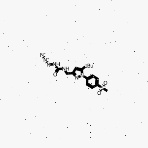 CC(C)(C)c1cc(CNC(=O)NN=[N+]=[N-])nn1-c1ccc(S(C)(=O)=O)cc1